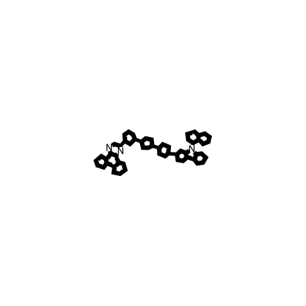 c1cc(-c2ccc(-c3ccc(-c4ccc5c6ccccc6n(-c6cccc7ccccc67)c5c4)cc3)cc2)cc(-c2cnc3c4ccccc4c4ccccc4c3n2)c1